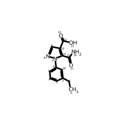 CCc1cccc(-n2ncc(C(=O)O)c2C(N)=O)c1